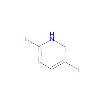 IC1=CC=C(I)NC1